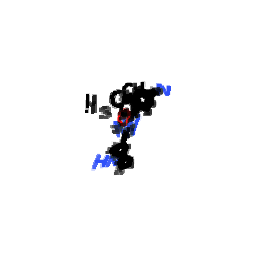 CC(C)(C)c1cc(C#N)ccc1-c1nc(-c2ccc3[nH]c4c(c3c2)CC[CH]4)no1